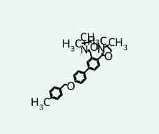 Cc1ccc(COc2ccc(-c3ccc(C4=NC(C)(C)CO4)c(C4=NC(C)(C)CO4)c3)cc2)cc1